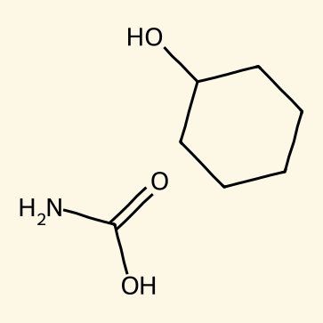 NC(=O)O.OC1CCCCC1